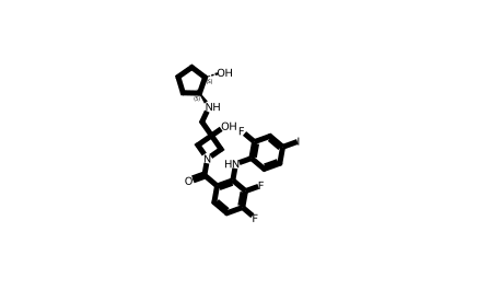 O=C(c1ccc(F)c(F)c1Nc1ccc(I)cc1F)N1CC(O)(CN[C@H]2CCC[C@@H]2O)C1